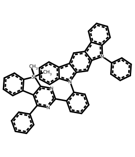 C[Si]1(C)c2ccccc2-c2c(-c3ccccc3)nc(-c3ccccc3-n3c4ccccc4c4cc5c6ccccc6n(-c6ccccc6)c5cc43)nc21